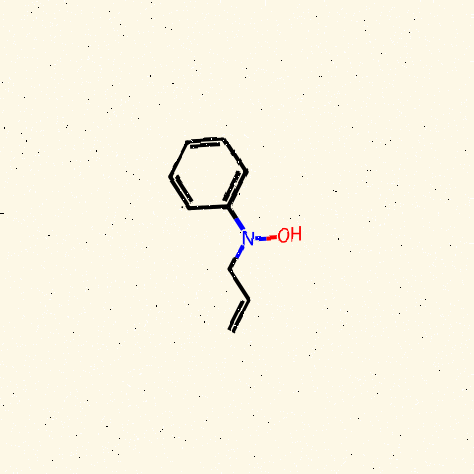 C=CCN(O)c1[c]cccc1